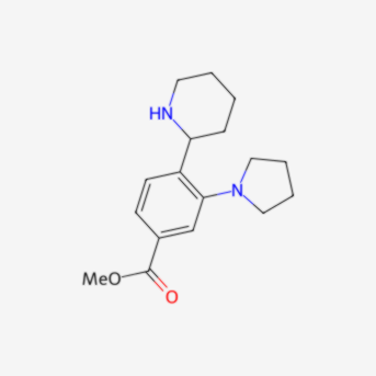 COC(=O)c1ccc(C2CCCCN2)c(N2CCCC2)c1